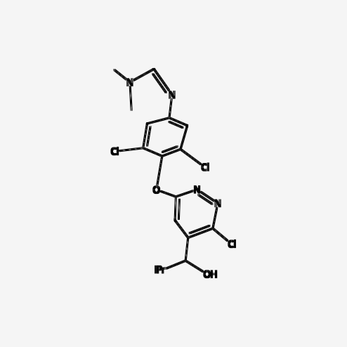 CC(C)C(O)c1cc(Oc2c(Cl)cc(/N=C\N(C)C)cc2Cl)nnc1Cl